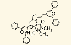 C=c1n(C)c(=O)c(=C2/C(=C\C=C3C=C(c4ccccc4)OC(c4ccccc4)=C3)CC/C2=C\C=C2C=C(c3ccccc3)OC(c3ccccc3)=C2)c(=O)n1C